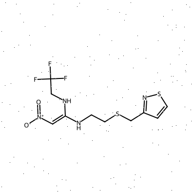 O=[N+]([O-])C=C(NCCSCc1ccsn1)NCC(F)(F)F